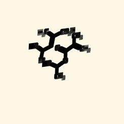 C=C(C)C(=O)OC(C)O.CCC(O)C=C(C)C(=O)O